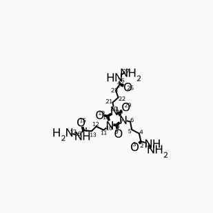 NNC(=O)CCCn1c(=O)n(CCCC(=O)NN)c(=O)n(CCCC(=O)NN)c1=O